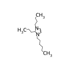 CCCCCCN1C=CN(CCCC)C1CCC